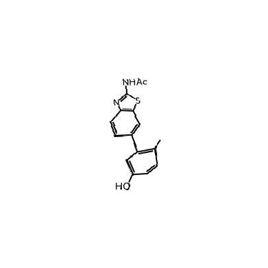 CC(=O)Nc1nc2ccc(-c3cc(O)ccc3C)cc2s1